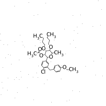 CCCCOC1C(C)OC(c2ccc(Cl)c(Cc3ccc(OCC)cc3)c2)C(OC(C)=O)C1OCCCC